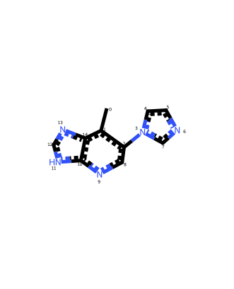 Cc1c(-n2ccnc2)cnc2[nH]cnc12